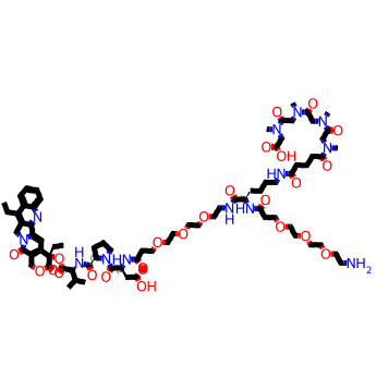 CCc1c2c(nc3ccccc13)-c1cc3c(c(=O)n1C2)COC(=O)[C@@]3(CC)OC(=O)[C@@H](NC(=O)[C@@H]1CCCN1C(=O)[C@H](CC(=O)O)NC(=O)CCOCCOCCOCCNC(=O)[C@H](CCCCNC(=O)CCCC(=O)N(C)CC(=O)N(C)CC(=O)N(C)CC(=O)N(C)CC(=O)O)NC(=O)CCOCCOCCOCCN)C(C)C